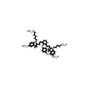 CC1(C)C(/C=C/C2=C(Oc3ccc(S(=O)(=O)O)cc3)C(=C/C=C3/N(CCCCS(=O)(=O)O)c4ccc(S(=O)(=O)O)cc4C3(C)C)/CCC2)=[N+](CCCCCC(=O)O)c2ccc(S(=O)(=O)O)cc21